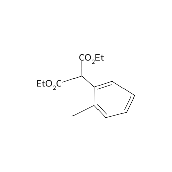 CCOC(=O)C(C(=O)OCC)c1ccccc1C